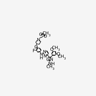 CCNc1nc(-c2cc(OC)cc(OC)c2)c(-c2ccnc(Nc3ccc(OC4CCN(CCS(C)(=O)=O)CC4)c(F)c3)n2)o1